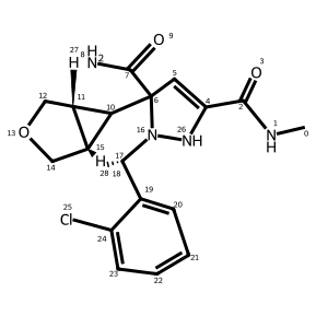 CNC(=O)C1=CC(C(N)=O)(C2[C@H]3COC[C@@H]23)N([C@@H](C)c2ccccc2Cl)N1